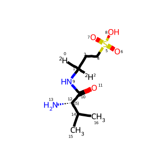 [2H]C([2H])(CCS(=O)(=O)O)NC(=O)[C@@H](N)C(C)C